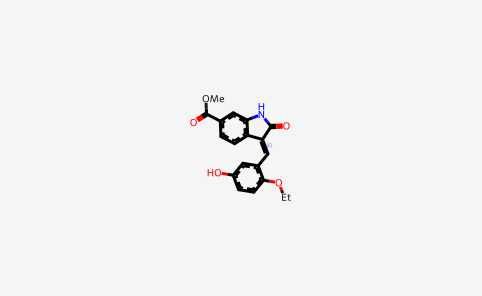 CCOc1ccc(O)cc1/C=C1/C(=O)Nc2cc(C(=O)OC)ccc21